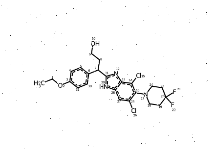 CCOc1ccc(C(CCO)c2nc3c(Cl)c(N4CCC(F)(F)CC4)c(Cl)cc3[nH]2)cc1